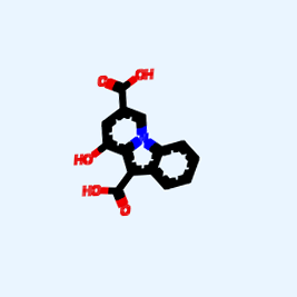 O=C(O)c1cc(O)c2c(C(=O)O)c3ccccc3n2c1